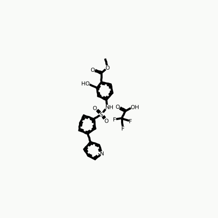 COC(=O)c1ccc(NS(=O)(=O)c2cccc(-c3cccnc3)c2)cc1O.O=C(O)C(F)(F)F